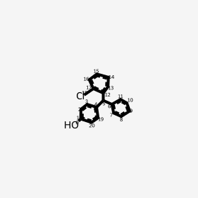 Oc1ccc(C(c2ccccc2)c2ccccc2Cl)cc1